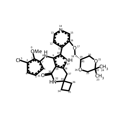 COc1c(Cl)cccc1Nc1c(-c2ccncc2OC[C@@H]2COC(C)(C)CO2)[nH]c2c1C(=O)NC1(CCC1)C2